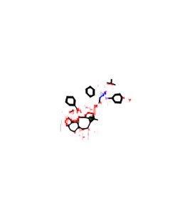 COc1ccc(C2O[C@@H](C(=O)O[C@H]3C[C@@]4(O)[C@@H](OC(=O)c5ccccc5)[C@@H]5[C@]6(OC(C)=O)CO[C@@H]6C[C@H](O)[C@@]5(C)C(=O)[C@H](O)C(=C3C)C4(C)C)[C@H](c3ccccc3)N2C(=O)OC(C)(C)C)cc1